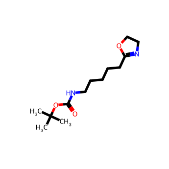 CC(C)(C)OC(=O)NCCCCCC1=NCCO1